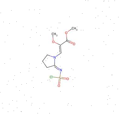 COC(=O)C(=CN1CCCC1=NS(=O)(=O)Cl)OC